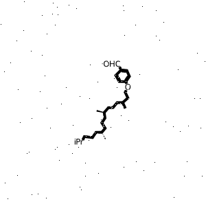 CC(C)CCC[C@@H](C)CCC[C@@H](C)CCCC(C)CCOc1ccc([C]=O)cc1